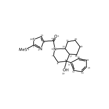 CSc1nc(C(=O)N2CCC(O)(c3ccccc3)C3CCCCC32)cs1